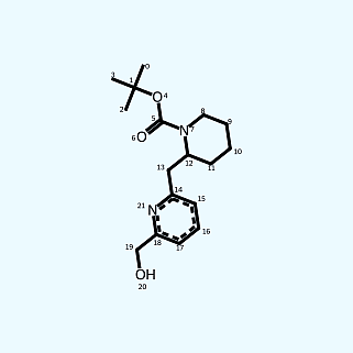 CC(C)(C)OC(=O)N1CCCCC1Cc1cccc(CO)n1